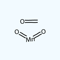 C=O.[O]=[Mn]=[O]